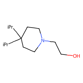 CC(C)C1(C(C)C)CCN(CCO)CC1